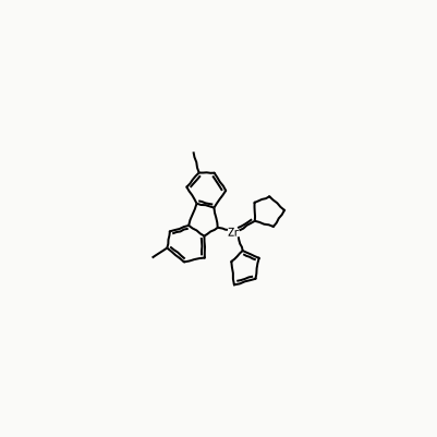 Cc1ccc2c(c1)-c1cc(C)ccc1[CH]2[Zr]([C]1=CC=CC1)=[C]1CCCC1